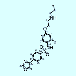 CCCNCCOc1cc(C)c(NS(=O)(=O)c2ccc(-c3cocn3)cc2)cn1